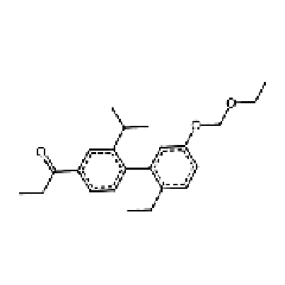 CCOCOc1ccc(CC)c(-c2ccc(C(=O)CC)cc2C(C)C)c1